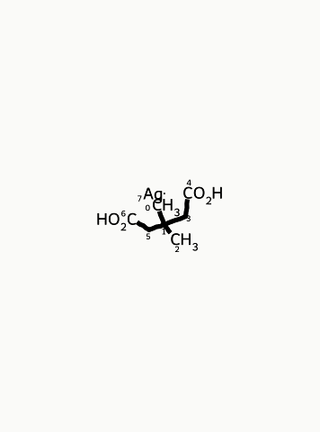 CC(C)(CC(=O)O)CC(=O)O.[Ag]